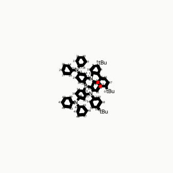 CC(C)(C)c1ccc(-c2cc(C(C)(C)C)ccc2N2c3cc(N(c4ccccc4)c4ccccc4)ccc3B3c4ccc(N(c5ccccc5)c5ccccc5)cc4N(c4ccc(C(C)(C)C)cc4)c4cccc2c43)cc1